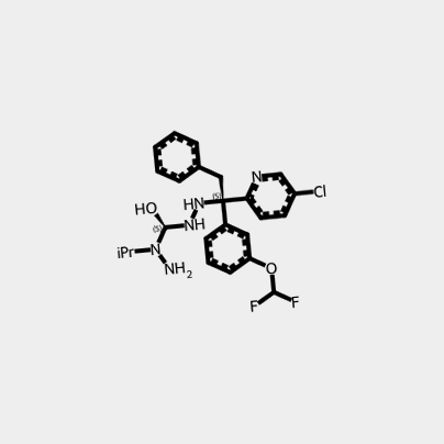 CC(C)N(N)[C@@H](O)NN[C@@](Cc1ccccc1)(c1cccc(OC(F)F)c1)c1ccc(Cl)cn1